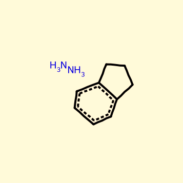 N.N.c1ccc2c(c1)CCC2